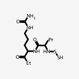 CCC(=O)C(CCCNC(N)=O)NC(=O)C(NSS)C(C)C